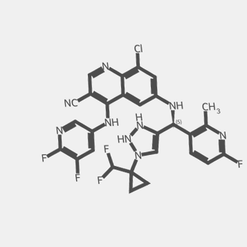 Cc1nc(F)ccc1[C@H](Nc1cc(Cl)c2ncc(C#N)c(Nc3cnc(F)c(F)c3)c2c1)C1=CN(C2(C(F)F)CC2)NN1